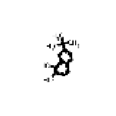 CC(C)(C)c1ccc2ccc(O)c(O)c2c1